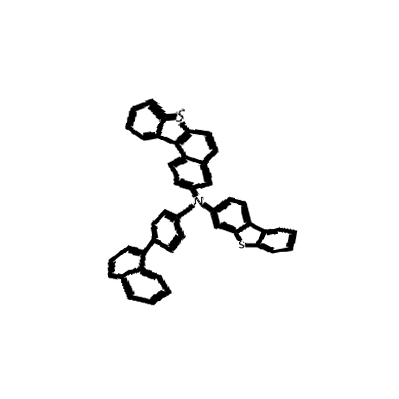 c1ccc2c(-c3ccc(N(c4ccc5c(ccc6sc7ccccc7c65)c4)c4ccc5c(c4)sc4ccccc45)cc3)cccc2c1